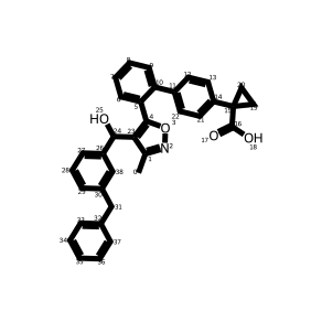 Cc1noc(-c2ccccc2-c2ccc(C3(C(=O)O)CC3)cc2)c1C(O)c1cccc(Cc2ccccc2)c1